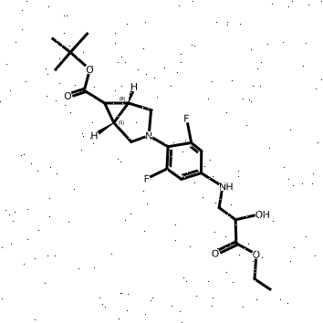 CCOC(=O)C(O)CNc1cc(F)c(N2C[C@@H]3C(C(=O)OC(C)(C)C)[C@@H]3C2)c(F)c1